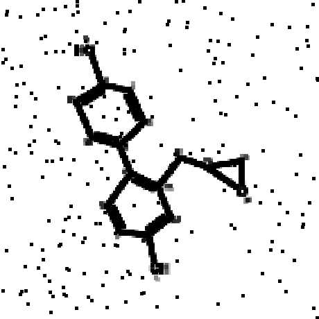 Oc1ccc(-c2ccc(O)cc2CC2CO2)cc1